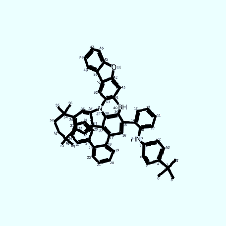 CC(C)(C)c1ccc(Nc2ccccc2-c2cc(-c3ccccc3-c3ccccc3)c3c4cc5c(cc4n4c3c2Bc2cc3oc6ccccc6c3cc2-4)C(C)(C)CCC5(C)C)cc1